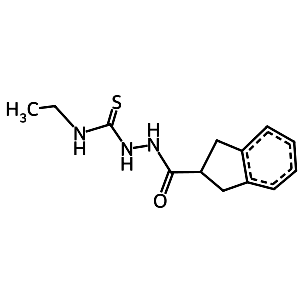 CCNC(=S)NNC(=O)C1Cc2ccccc2C1